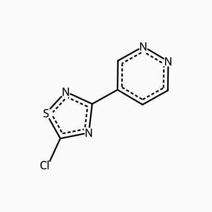 Clc1nc(-c2ccnnc2)ns1